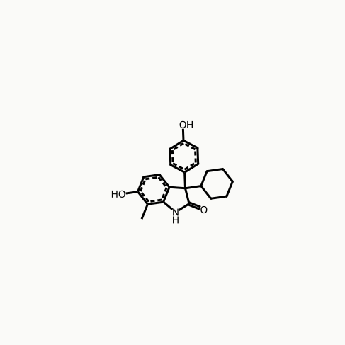 Cc1c(O)ccc2c1NC(=O)C2(c1ccc(O)cc1)C1CCCCC1